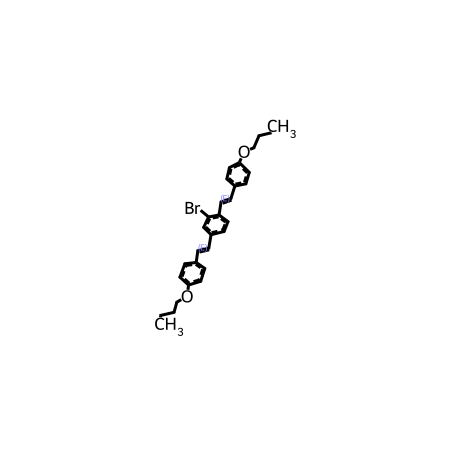 CCCCOc1ccc(/C=C/c2ccc(/C=C/c3ccc(OCCCC)cc3)c(Br)c2)cc1